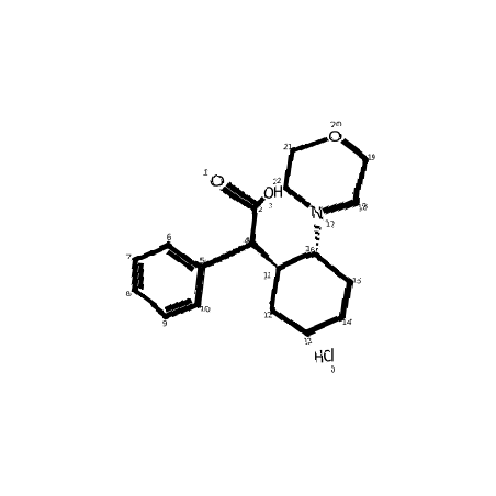 Cl.O=C(O)C(c1ccccc1)[C@@H]1CCCC[C@H]1N1CCOCC1